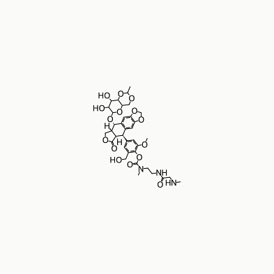 CNCC(=O)NCCN(C)C(=O)Oc1c(CO)cc([C@@H]2c3cc4c(cc3[C@@H](OC3OC5COC(C)OC5C(O)C3O)[C@H]3COC(=O)[C@H]23)OCO4)cc1OC